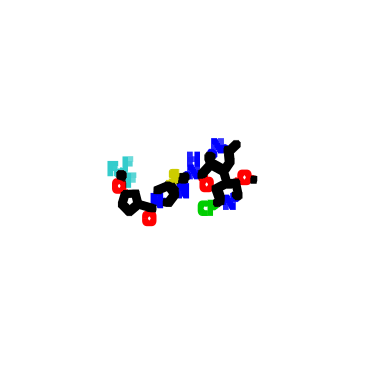 COc1cnc(Cl)cc1-c1cc(C)ncc1C(=O)Nc1nc2c(s1)CN(C(=O)C1CCC(OC(F)(F)F)C1)C2